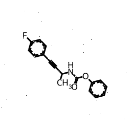 CC(C#Cc1ccc(F)cc1)NC(=O)Oc1ccccc1